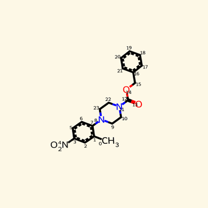 Cc1cc([N+](=O)[O-])ccc1N1CCN(C(=O)OCc2ccccc2)CC1